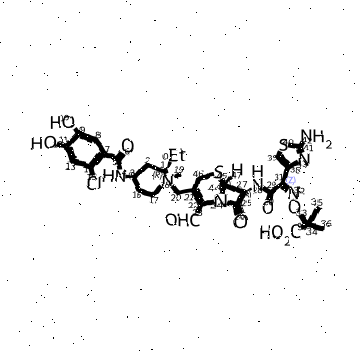 CC[C@@H]1C[C@H](NC(=O)c2cc(O)c(O)cc2Cl)CC[N+]1(C)CC1=C(C=O)N2C(=O)[C@@H](NC(=O)/C(=N\OC(C)(C)C(=O)O)c3csc(N)n3)[C@H]2SC1